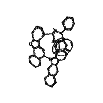 C1=C2/C=C\C=C/CCC(=C1c1nc(-c3ccccc3)nc(-c3cccc4oc5c6ccccc6c(-n6c7cc8ccccc8cc7c7ccc8ccccc8c76)cc5c34)n1)CC2